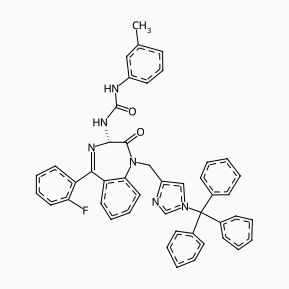 Cc1cccc(NC(=O)N[C@H]2N=C(c3ccccc3F)c3ccccc3N(Cc3cn(C(c4ccccc4)(c4ccccc4)c4ccccc4)cn3)C2=O)c1